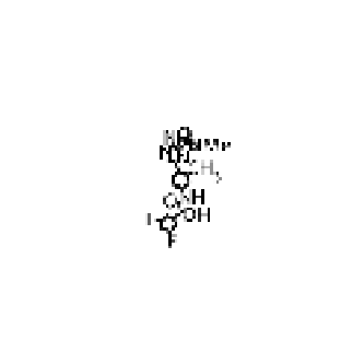 CNC(=O)c1nc(-c2ccc(NC(=O)C(O)c3cc(F)cc(F)c3)cc2C)cnc1N